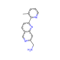 Cc1cccnc1-c1ccc2cnc(CN)cc2n1